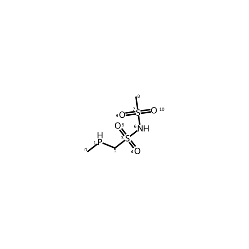 CPCS(=O)(=O)NS(C)(=O)=O